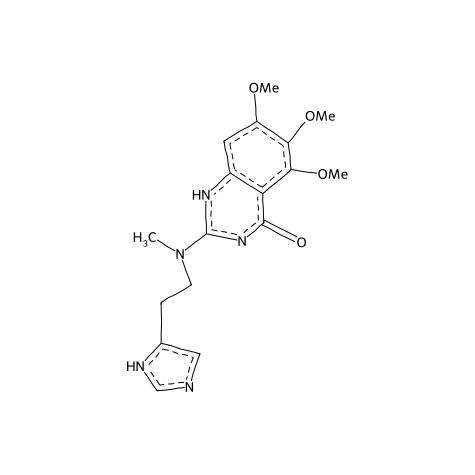 COc1cc2[nH]c(N(C)CCc3cnc[nH]3)nc(=O)c2c(OC)c1OC